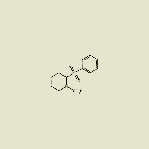 O=C(O)N1CCCCC1S(=O)(=O)c1ccccc1